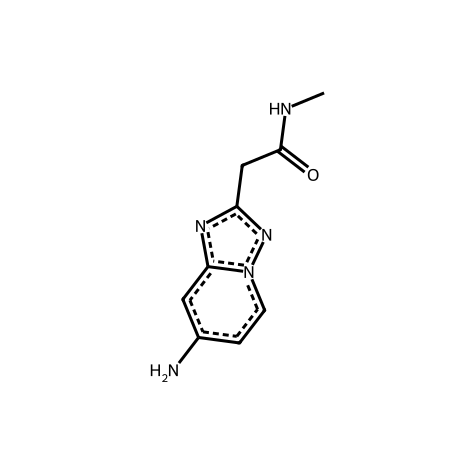 CNC(=O)Cc1nc2cc(N)ccn2n1